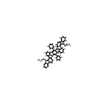 CCn1c2ccccc2c2ccc3c(c4cccc5c6c(-c7ccccc7)c7c(c(-c8ccccc8)c6n3c54)c3cccc4c5c6c(ccc5n7c34)c3ccccc3n6CC)c21